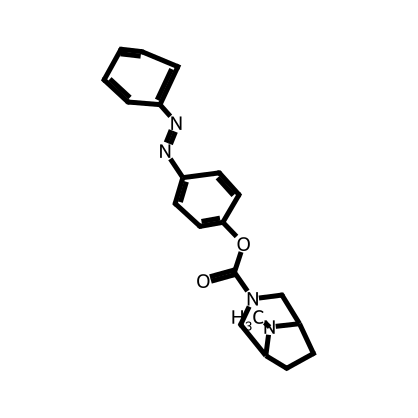 CN1C2CCC1CN(C(=O)Oc1ccc(N=Nc3ccccc3)cc1)C2